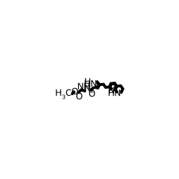 CCOC(=O)[C@@H](N)CNC(=O)c1cc(CCc2ccc3c(n2)NCCC3)c[nH]1